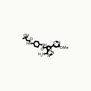 COc1cc(-c2cc(C(=O)NC3CCC(NC(=O)CC(C)(C)O)CC3)c3c(N)ncnn23)ccn1